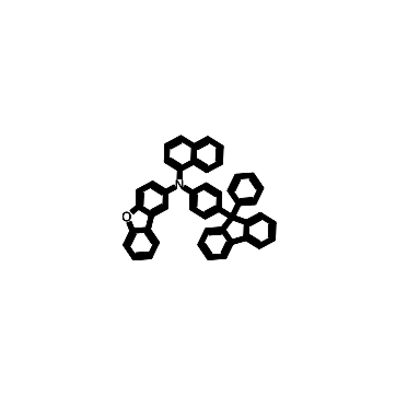 c1ccc(C2(c3ccc(N(c4ccc5oc6ccccc6c5c4)c4cccc5ccccc45)cc3)c3ccccc3-c3ccccc32)cc1